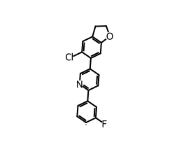 Fc1[c]ccc(-c2ccc(-c3cc4c(cc3Cl)CCO4)cn2)c1